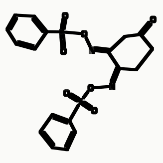 O=C1CCC(=N/OS(=O)(=O)c2ccccc2)/C(=N/OS(=O)(=O)c2ccccc2)C1